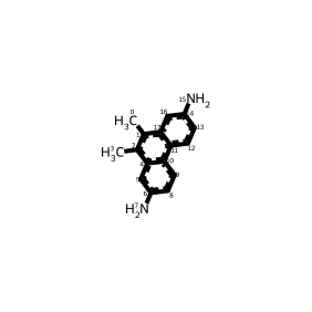 Cc1c(C)c2cc(N)ccc2c2ccc(N)cc12